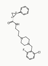 O=C(NCCCN1CCN(Cc2c(F)cccc2Cl)CC1)[C@@H]1C[C@H]1c1ccccc1